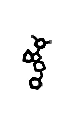 Clc1cc(Cl)cc(C2OC3(CCN(Cc4ccccn4)CC3)c3ccccc32)c1